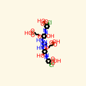 O=S(=O)(O)CCCOc1cc(N=Nc2ccc(Cl)c(S(=O)(=O)O)c2)c(O)cc1Nc1ncnc(Nc2cc(O)c(N=Nc3ccc(Cl)c(S(=O)(=O)O)c3)cc2OCCCS(=O)(=O)O)n1